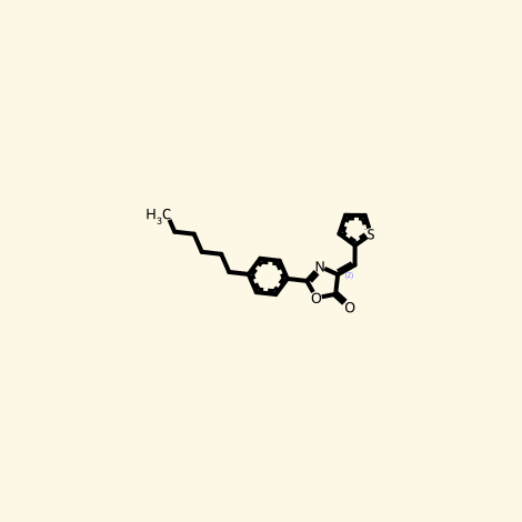 CCCCCCc1ccc(C2=N/C(=C\c3cccs3)C(=O)O2)cc1